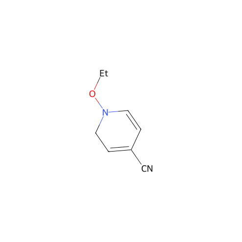 CCON1C=CC(C#N)=CC1